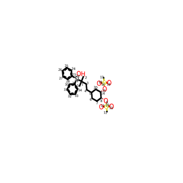 CC(C)(CCC1CC[C@@H](OS(C)(=O)=O)[C@@H](OS(C)(=O)=O)C1)[Si](O)(c1ccccc1)c1ccccc1